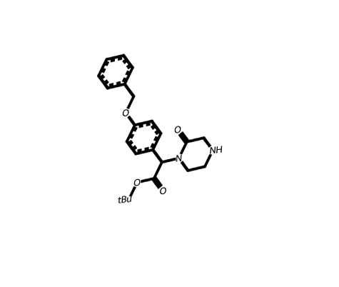 CC(C)(C)OC(=O)C(c1ccc(OCc2ccccc2)cc1)N1CCNCC1=O